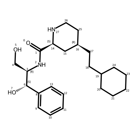 O=C(N[C@H](CO)[C@@H](O)c1ccccc1)[C@@H]1C[C@H](CCC2CCCCC2)CCN1